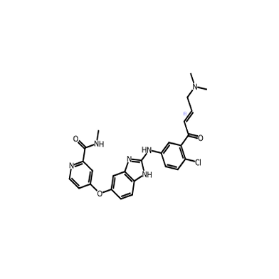 CNC(=O)c1cc(Oc2ccc3[nH]c(Nc4ccc(Cl)c(C(=O)/C=C/CN(C)C)c4)nc3c2)ccn1